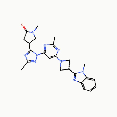 Cc1nc(N2CC(c3nc4ccccc4n3C)C2)cc(-n2nc(C)nc2C2CC(=O)N(C)C2)n1